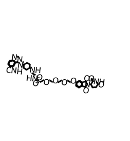 C[C@]1(Nc2ncnc3ccc(C#N)cc23)CC[C@@H](NCCNS(=O)(=O)CCOCCOCCOCCOc2ccc3c(c2)C(=O)N(C2CCC(=O)NC2=O)C3=O)CC1